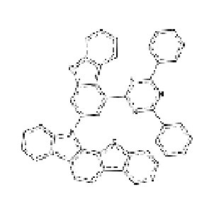 c1ccc(-c2nc(-c3ccccc3)nc(-c3cc(-n4c5ccccc5c5ccc6c7ccccc7sc6c54)cc4oc5ccccc5c34)n2)cc1